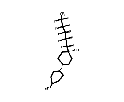 CCCC1CCC([C@H]2CC[C@](O)(C(F)(F)C(F)(F)C(F)(F)C(F)(F)C(F)(F)C(F)(F)F)CC2)CC1